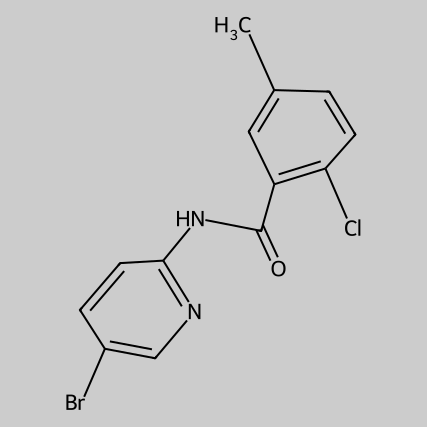 Cc1ccc(Cl)c(C(=O)Nc2ccc(Br)cn2)c1